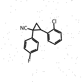 N#CC1(c2ccc(F)cc2)CC1c1ccccc1Cl